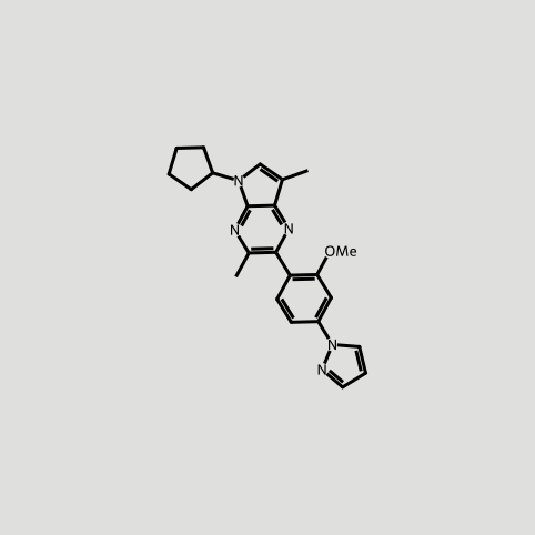 COc1cc(-n2cccn2)ccc1-c1nc2c(C)cn(C3CCCC3)c2nc1C